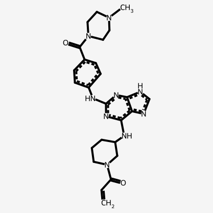 C=CC(=O)N1CCCC(Nc2nc(Nc3ccc(C(=O)N4CCN(C)CC4)cc3)nc3[nH]cnc23)C1